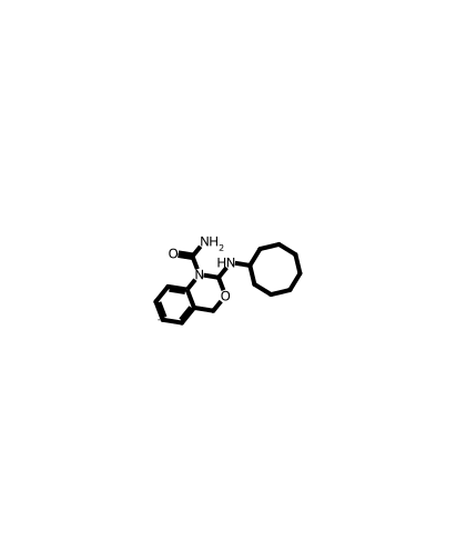 NC(=O)N1c2cc[c]cc2COC1NC1CCCCCCC1